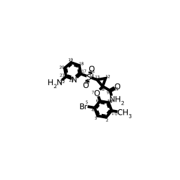 Cc1ccc(Br)c(OC2(C(N)=O)CC2S(=O)(=O)c2cccc(N)n2)c1